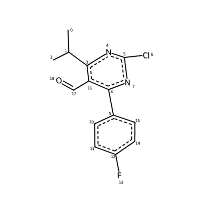 CC(C)c1nc(Cl)nc(-c2ccc(F)cc2)c1C=O